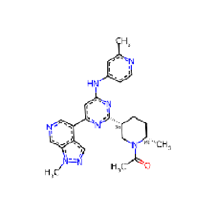 CC(=O)N1C[C@H](c2nc(Nc3ccnc(C)c3)cc(-c3cncc4c3cnn4C)n2)CC[C@@H]1C